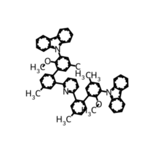 COc1c(-c2ccc(C)cc2-c2cccc(-c3cc(C)ccc3-c3cc(C)cc(-n4c5ccccc5c5ccccc54)c3OC)n2)cc(C)cc1-n1c2ccccc2c2ccccc21